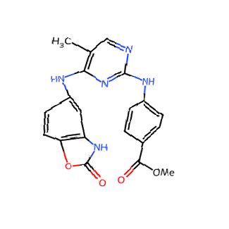 COC(=O)c1ccc(Nc2ncc(C)c(Nc3ccc4oc(=O)[nH]c4c3)n2)cc1